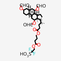 C[C@H](CCC(=O)OCCCC(=O)OCC(F)(F)S(=O)(=O)O)[C@H]1CC[C@H]2[C@@H]3C(OC=O)C[C@@H]4CC(OC=O)CC[C@]4(C)[C@H]3CC(OC=O)[C@]12C